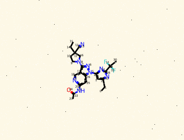 CCc1cc(-n2nc(N3CCC(C#N)(CC)C3)c3cnc(NC(C)=O)cc32)nc(C(C)(F)F)n1